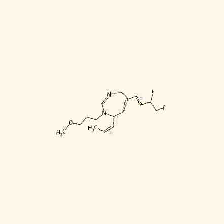 C/C=C\C1C=C(/C=C/C(F)CF)CN=CN1CCCOC